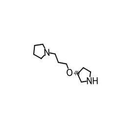 C1CCN(CCCO[C@@H]2CCNC2)C1